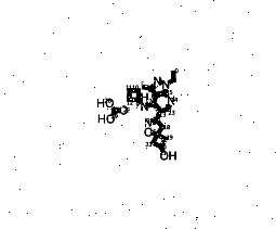 CCn1nc(C)c2c(NC3CCC3)c(C3=NOC4(C3)CC(O)C4)cnc21.O=C(O)O